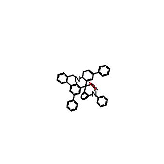 C1=C(c2ccccc2)C=C2C(C1)N1Cc3ccccc3-c3cc(-c4ccccc4)cc(c31)C21c2ccccc2N(c2ccccc2)c2ccccc21